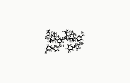 [2H]C1([2H])N(C(=O)C2CC2)C([2H])([2H])C([2H])([2H])N(c2cc(Nc3ncn(-c4cccc(F)c4)n3)cc(C(F)(F)F)c2)C1([2H])[2H].[2H]C1([2H])N(C(=O)C2CC2)C([2H])([2H])C([2H])([2H])N(c2cc(Nc3ncn(-c4cccc(F)c4)n3)cc(C(F)F)c2)C1([2H])[2H]